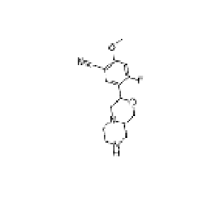 COc1cc(F)c(C2CN3CCNCC3CO2)cc1C#N